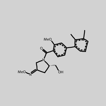 CO/N=C1/C[C@@H](CO)N(C(=O)c2ccc(-c3cccc(C)c3C)cc2OC)C1